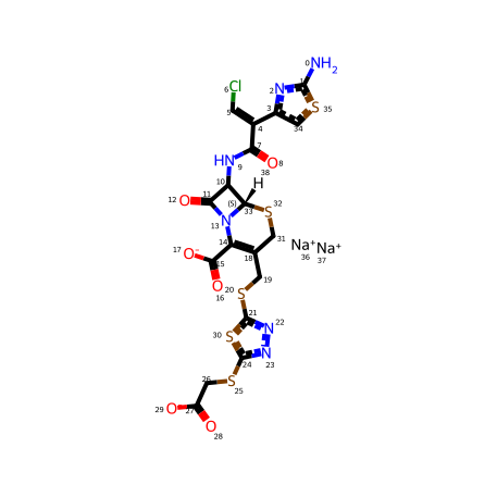 Nc1nc(C(=CCl)C(=O)NC2C(=O)N3C(C(=O)[O-])=C(CSc4nnc(SCC(=O)[O-])s4)CS[C@@H]23)cs1.[Na+].[Na+]